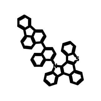 c1ccc2c(c1)-c1cccc3c(-c4ccc(-n5c6ccccc6c6c7ccccc7c7sc8ccccc8c7c65)c5ccccc45)ccc-2c13